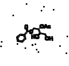 CC(=O)O[C@@H](COC(=O)c1ccccc1)[C@H](O)CO